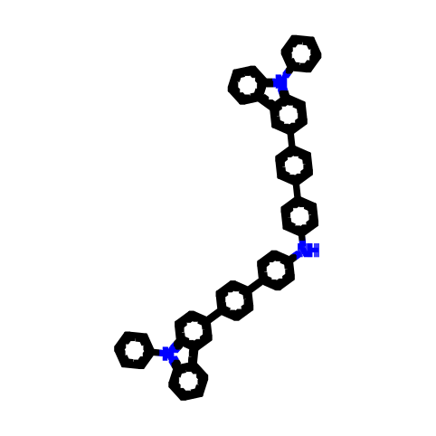 c1ccc(-n2c3ccccc3c3cc(-c4ccc(-c5ccc(Nc6ccc(-c7ccc(-c8ccc9c(c8)c8ccccc8n9-c8ccccc8)cc7)cc6)cc5)cc4)ccc32)cc1